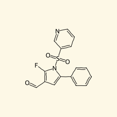 O=Cc1cc(-c2ccccc2)n(S(=O)(=O)c2cccnc2)c1F